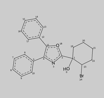 OC1(c2nc(-c3ccccc3)c(-c3ccccc3)o2)CCCCC1Br